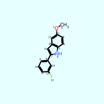 COc1ccc2[nH]c(-c3cccc(F)c3)cc2c1